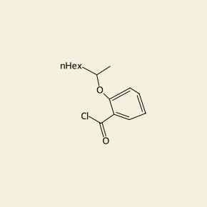 CCCCCCC(C)Oc1ccccc1C(=O)Cl